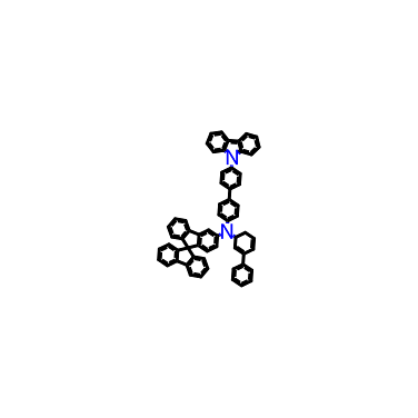 C1=CC(c2ccccc2)=CC(N(c2ccc(-c3ccc(-n4c5ccccc5c5ccccc54)cc3)cc2)c2ccc3c(c2)-c2ccccc2C32c3ccccc3-c3ccccc32)C1